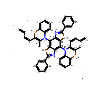 C=C/C=C\C1=C(C)N(c2c3nc(-c4ccccc4)sc3c(N3C(/C=C\C=C)=C(C)Sc4ccccc43)c3nc(-c4ccccc4)sc23)c2ccccc2S1